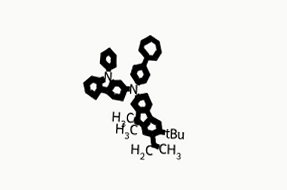 C=C(C)c1cc2c(cc1C(C)(C)C)-c1ccc(N(c3ccc(C4=CC=CCC=C4)cc3)c3ccc4c5ccccc5n(-c5ccccc5)c4c3)cc1C2(C)C